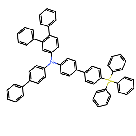 c1ccc(-c2ccc(N(c3ccc(-c4ccc(S(c5ccccc5)(c5ccccc5)c5ccccc5)cc4)cc3)c3ccc(-c4ccccc4)c(-c4ccccc4)c3)cc2)cc1